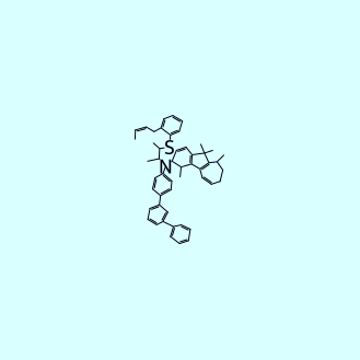 C/C=C\Cc1ccccc1SC(C)C(C)N(c1ccc(-c2cccc(-c3ccccc3)c2)cc1)C1C=CC2=C(C3=C(C(C)CCC=C3)C2(C)C)C1C